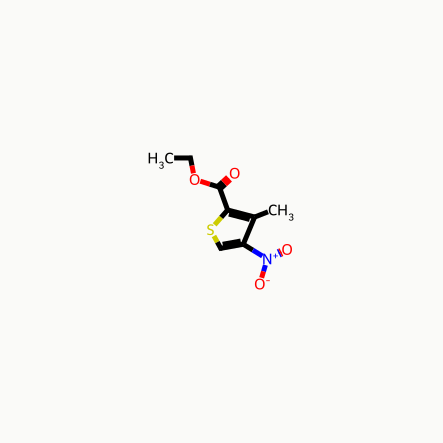 CCOC(=O)c1scc([N+](=O)[O-])c1C